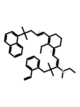 C=Cc1ccccc1CC(C)(C)/C(=C\C=C1/CCCC(/C=C/CC(C)(C)c2cccc3ccccc23)=C1CC)N(C)CC